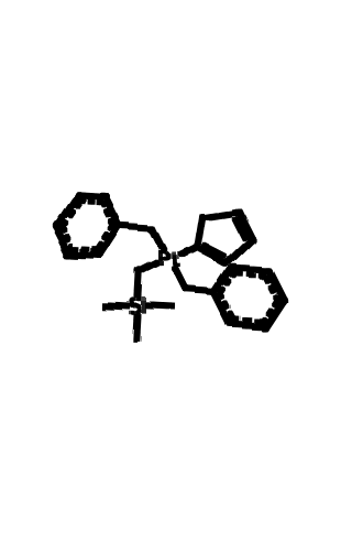 C[Si](C)(C)[CH2][Pt]([CH2]c1ccccc1)([CH2]c1ccccc1)[C]1=CC=CC1